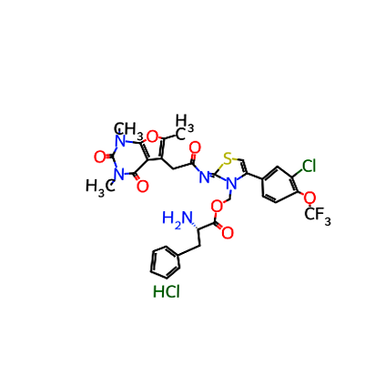 Cc1oc2c(c1CC(=O)/N=c1\scc(-c3ccc(OC(F)(F)F)c(Cl)c3)n1COC(=O)[C@@H](N)Cc1ccccc1)c(=O)n(C)c(=O)n2C.Cl